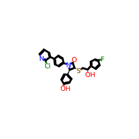 O=C1[C@H](SC[C@@H](O)c2ccc(F)cc2)[C@@H](c2ccc(O)cc2)N1c1ccc(-c2cccnc2Cl)cc1